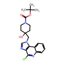 CC(C)(C)OC(=O)N1CCC(O)(Cn2cnc3c(Cl)nc4ccccc4c32)CC1